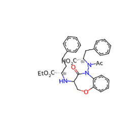 CCOC(=O)[C@H](CCc1ccccc1)NC1COc2ccccc2N(N(C(C)=O)[C@@H](Cc2ccccc2)C(=O)O)C1=O